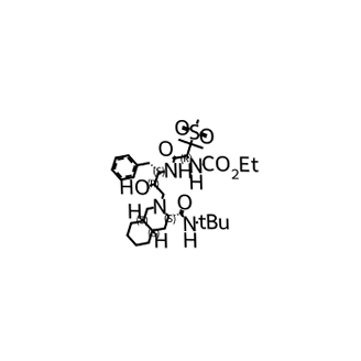 CCOC(=O)N[C@H](C(=O)N[C@@H](Cc1ccccc1)[C@H](O)CN1C[C@H]2CCCC[C@H]2C[C@H]1C(=O)NC(C)(C)C)C(C)(C)S(C)(=O)=O